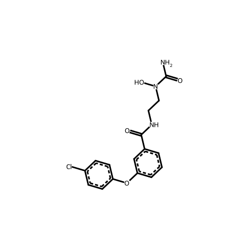 NC(=O)N(O)CCNC(=O)c1cccc(Oc2ccc(Cl)cc2)c1